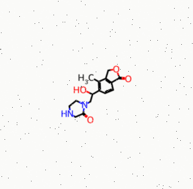 Cc1c(C(O)CN2CCNCC2=O)ccc2c1COC2=O